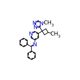 CC1CC(c2cncc(N=C(c3ccccc3)c3ccccc3)c2)(c2nncn2C)C1